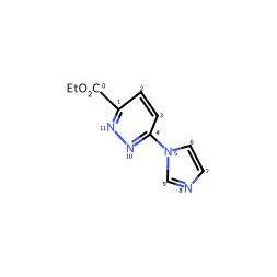 CCOC(=O)c1ccc(-n2ccnc2)nn1